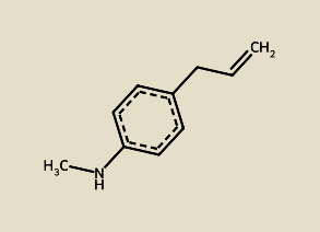 C=CCc1ccc(NC)cc1